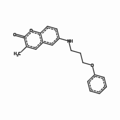 Cc1cc2cc(NCCCOc3ccccc3)ccc2oc1=O